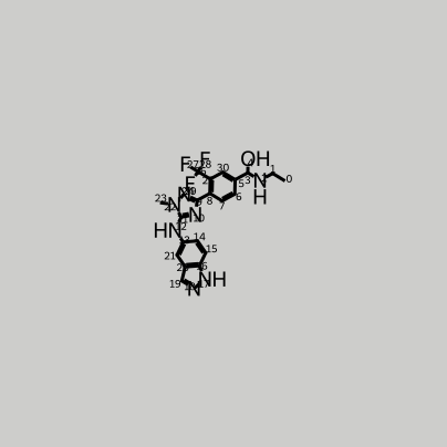 CCNC(O)c1ccc(-c2nc(Nc3ccc4[nH]ncc4c3)n(C)n2)c(C(F)(F)F)c1